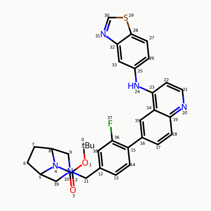 CC(C)(C)OC(=O)N1C2CCC1CN(Cc1ccc(-c3ccc4nccc(Nc5ccc6scnc6c5)c4c3)c(F)c1)C2